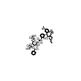 CCCC[C@]1(CC)CS(=O)(=O)c2ccc(N(C)C)cc2[C@H](c2cccc(NC(=O)N[C@@H]3O[C@H](CS(=O)(=O)O)[C@@H](OS(=O)(=O)O)[C@H](OCc4ccccc4)[C@H]3O)c2)[C@@H]1O